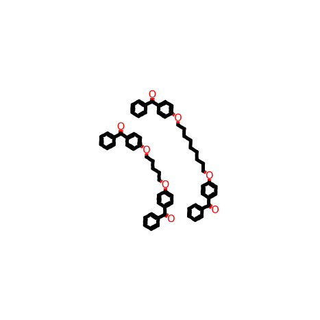 O=C(c1ccccc1)c1ccc(OCCCCCCCCCOc2ccc(C(=O)c3ccccc3)cc2)cc1.O=C(c1ccccc1)c1ccc(OCCCCCOc2ccc(C(=O)c3ccccc3)cc2)cc1